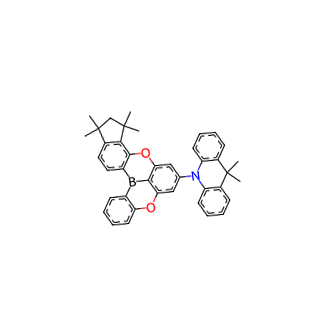 CC1(C)CC(C)(C)c2c1ccc1c2Oc2cc(N3c4ccccc4C(C)(C)c4ccccc43)cc3c2B1c1ccccc1O3